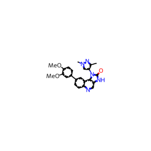 COc1ccc(-c2ccc3ncc4[nH]c(=O)n(-c5cn(C)nc5C)c4c3c2)cc1OC